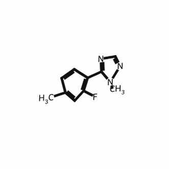 Cc1ccc(-c2ncnn2C)c(F)c1